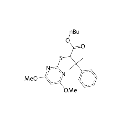 CCCCOC(=O)C(Sc1nc(OC)cc(OC)n1)C(C)(C)c1ccccc1